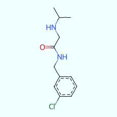 CC(C)NCC(=O)NCc1cccc(Cl)c1